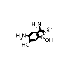 Nc1cc2c(N)[n+]([O-])n(O)c2cc1O